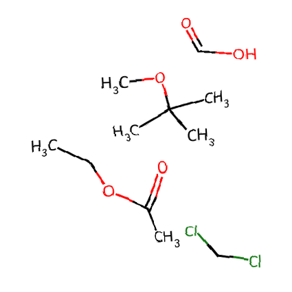 CCOC(C)=O.COC(C)(C)C.ClCCl.O=CO